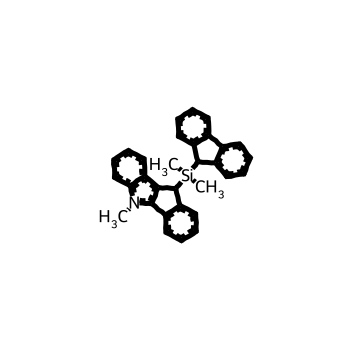 Cn1c2c(c3ccccc31)C([Si](C)(C)C1c3ccccc3-c3ccccc31)c1ccccc1-2